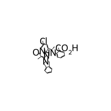 Cc1c(N2Cc3ccccc3C2)nc2c([C@@H](C)Nc3ccccc3C(=O)O)cc(Cl)cn2c1=O